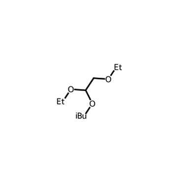 [CH2]COCC(OCC)OC(C)CC